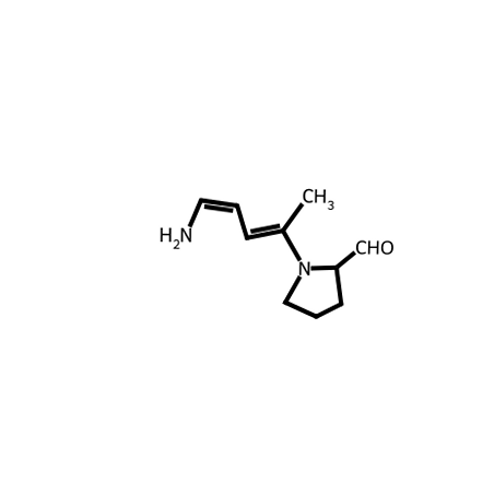 C/C(=C\C=C/N)N1CCCC1C=O